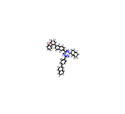 c1ccc2cc(-c3ccc(-c4nc(-c5ccc6ccccc6c5)nc(-c5ccc6cc(-c7cccc8oc9ccccc9c78)ccc6c5)n4)cc3)ccc2c1